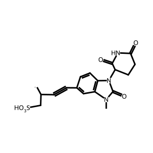 [CH2]C(C#Cc1ccc2c(c1)n(C)c(=O)n2C1CCC(=O)NC1=O)CS(=O)(=O)O